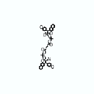 [C-]#[N+]C(C(=O)OCC(C)(C)COC(=O)CCCCC(=O)OCC(C)(C)COC(=O)C(C#N)=C(c1ccc(OC)cc1)c1ccc2ccccc2c1)=C(c1ccc(OC)cc1)c1ccc2ccccc2c1